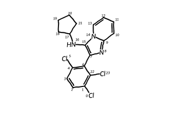 Clc1ccc(Cl)c(-c2nc3ccccn3c2NC2CCCC2)c1Cl